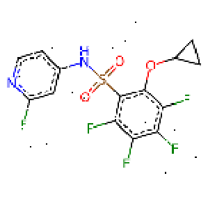 O=S(=O)(Nc1ccnc(F)c1)c1c(F)c(F)c(F)c(F)c1OC1CC1